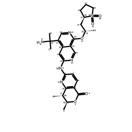 C[C@@H]1OC(=O)c2ccc(Nc3cc4c(C(C)(C)N)cnc(O[C@@H](C)C[C@H]5CCCS5(=O)=O)c4cn3)nc2[C@H]1C